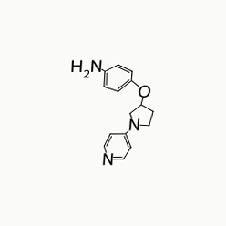 Nc1ccc(OC2CCN(c3ccncc3)C2)cc1